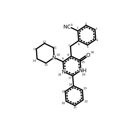 N#Cc1ccccc1Cc1c(N2CCCCC2)nc(-c2ccccc2)[nH]c1=O